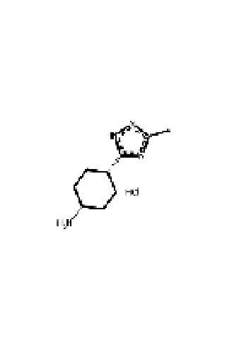 Cc1n[nH]c([C@H]2CC[C@@H](N)CC2)n1.Cl